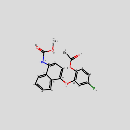 CCC(=O)Oc1ccc(F)cc1Oc1ccc(NC(=O)OC(C)(C)C)c2ccccc12